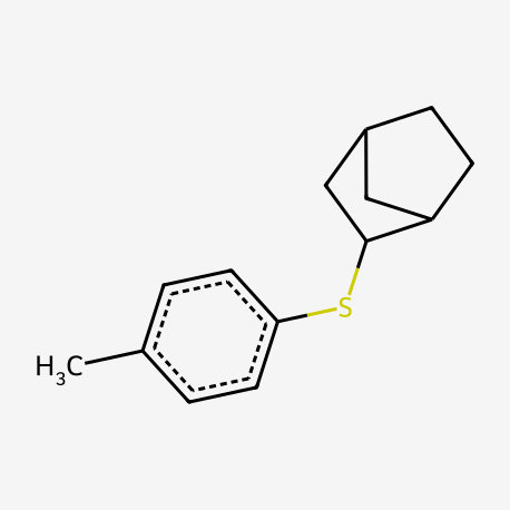 Cc1ccc(SC2CC3CCC2C3)cc1